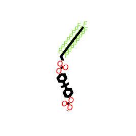 COC(=O)Oc1ccc(C(C)(C)c2ccc(OC(=O)OCCC(F)(F)C(F)(F)C(F)(F)C(F)(F)C(F)(F)C(F)(F)C(F)(F)C(F)(F)F)cc2)cc1